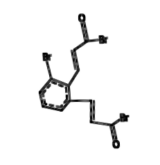 O=C(Br)C=Cc1cccc(Br)c1C=CC(=O)Br